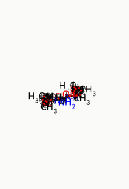 C[C@H]1[C@@H](CCNC(=O)CC[C@H](N)C(=O)NCC[C@H]2O[C@@H]3O[C@]4(C)CC[C@H]5[C@H](C)CC[C@@H]([C@H]2C)[C@@]35OO4)O[C@@H]2O[C@]3(C)CC[C@H]4[C@H](C)CC[C@@H]1[C@@]24OO3